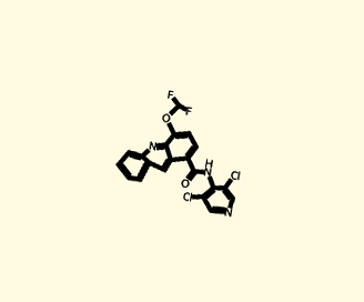 O=C(Nc1c(Cl)cncc1Cl)c1ccc(OC(F)F)c2nc3ccccc3cc12